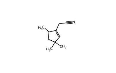 CC1CC(C)(C)C=C1CC#N